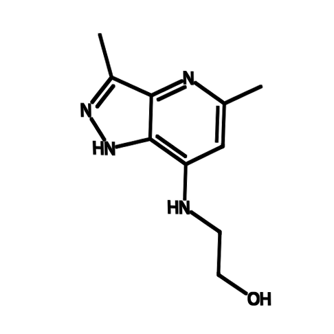 Cc1cc(NCCO)c2[nH]nc(C)c2n1